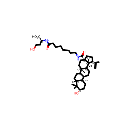 C=C(C)[C@@H]1CC[C@]2(C(=O)NCCCCCCCC(=O)N[C@@H](CCO)C(=O)O)CC[C@]3(C)[C@H](CCC4[C@@]5(C)CC[C@H](O)C(C)(C)[C@@H]5CC[C@]43C)[C@@H]12